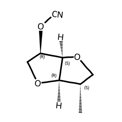 C[C@H]1CO[C@H]2[C@@H]1OC[C@H]2OC#N